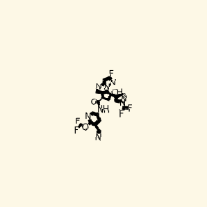 C[C@@]1(c2cnn(C(F)F)c2)C[C@@H](C(=O)Nc2cnc(OC(F)F)c(C#N)c2)c2cnc3cc(F)nn3c21